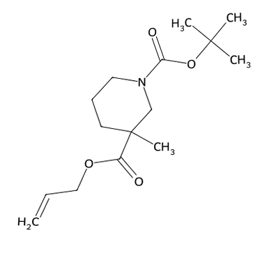 C=CCOC(=O)C1(C)CCCN(C(=O)OC(C)(C)C)C1